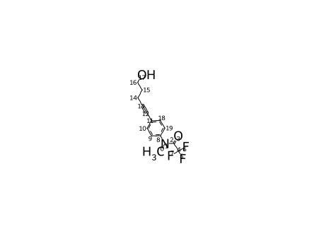 CN(C(=O)C(F)(F)F)c1ccc(C#CCCCO)cc1